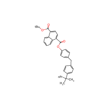 CCCC(C)(C)c1ccc(Cc2ccc(OC(=O)c3ccc(C(=O)OC(C)(C)C)c4ccccc34)cc2)cc1